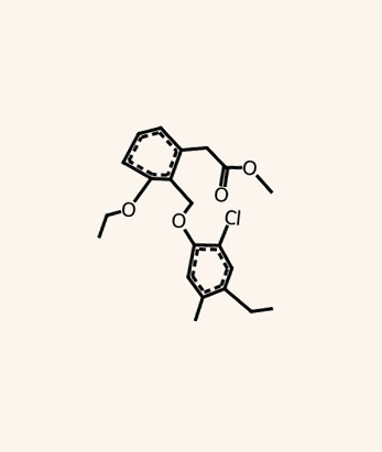 CCOc1cccc(CC(=O)OC)c1COc1cc(C)c(CC)cc1Cl